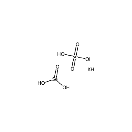 O=[Se](=O)(O)O.O=[Se](O)O.[KH]